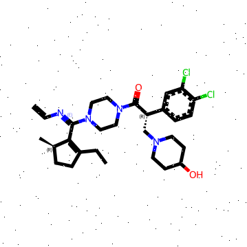 C=C/N=C(\C1=C(CC)CC[C@H]1C)N1CCN(C(=O)[C@@H](CN2CCC(O)CC2)c2ccc(Cl)c(Cl)c2)CC1